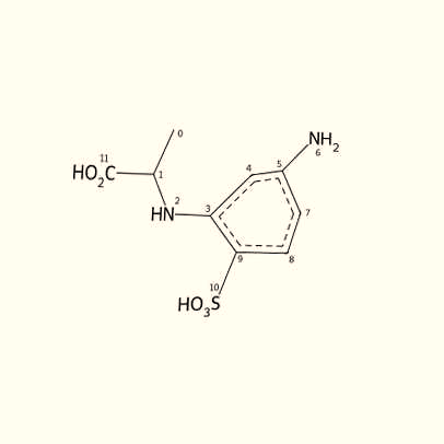 CC(Nc1cc(N)ccc1S(=O)(=O)O)C(=O)O